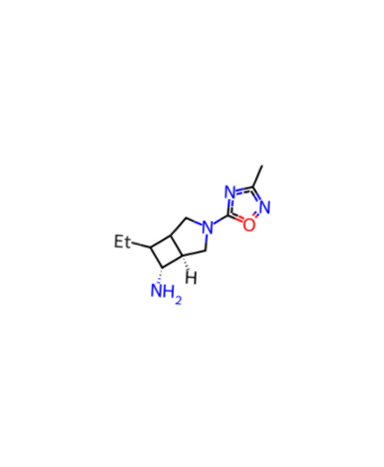 CCC1C2CN(c3nc(C)no3)C[C@H]2[C@@H]1N